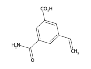 C=Cc1cc(C(N)=O)cc(C(=O)O)c1